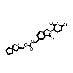 O=C1CCC(N2Cc3ccc(CNC(=O)OCC4CC5(CCCC5)CO4)cc3C2=O)C(=O)N1